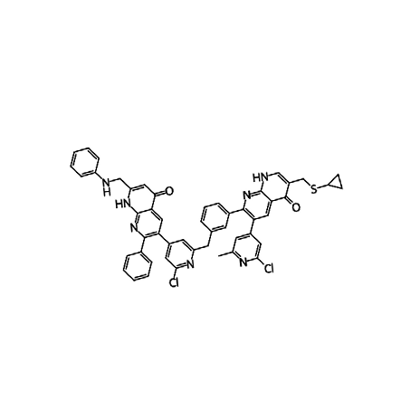 Cc1cc(-c2cc3c(=O)c(CSC4CC4)c[nH]c3nc2-c2cccc(Cc3cc(-c4cc5c(=O)cc(CNc6ccccc6)[nH]c5nc4-c4ccccc4)cc(Cl)n3)c2)cc(Cl)n1